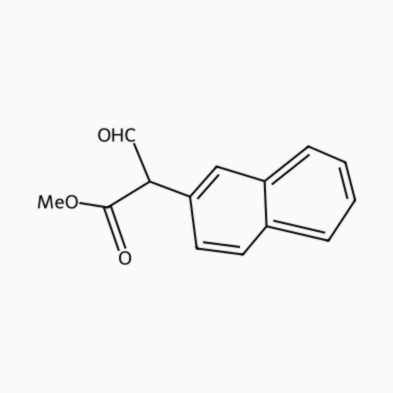 COC(=O)C(C=O)c1ccc2ccccc2c1